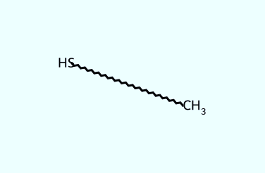 CCCCCCCCCCCCCCCCCCCCCCCCCCCCCCCCCCS